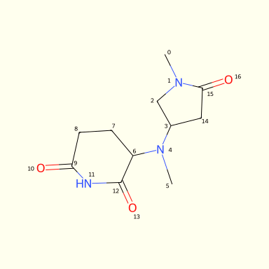 CN1CC(N(C)C2CCC(=O)NC2=O)CC1=O